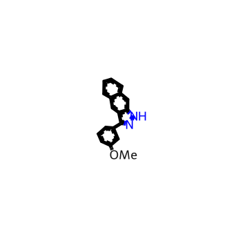 COc1cccc(-c2n[nH]c3cc4ccccc4cc23)c1